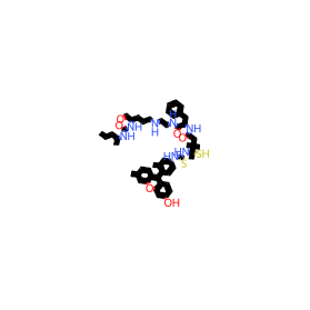 C=c1ccc2c(c1)Oc1cc(O)ccc1C=2c1ccc(NC(=S)NC(C)(S)C(C)(C)CC(=O)NC(Cc2ccccc2)C(=O)NCCNCCCC(C=O)NC(=O)NC(C)CCC)cc1C